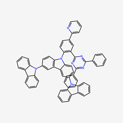 c1ccc(-c2nc(-c3ccccc3)nc(-c3cc(-c4ccccn4)ccc3-n3c4ccc(-n5c6ccccc6c6ccccc65)cc4c4cc(-n5c6ccccc6c6ccccc65)ccc43)n2)cc1